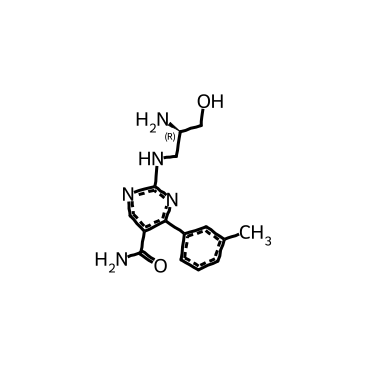 Cc1cccc(-c2nc(NC[C@@H](N)CO)ncc2C(N)=O)c1